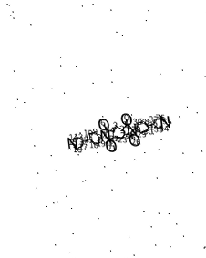 O=c1c2cc3c(=O)n(-c4ccc(-c5ccncc5)cc4)c(=O)c3cc2c(=O)n1-c1ccc(-c2ccncc2)cc1